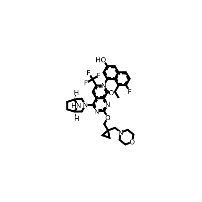 CCc1c(F)ccc2cc(O)cc(-n3c(C(F)(F)F)cc4c(N5C[C@H]6CC[C@@H](C5)N6)nc(OCC5(CN6CCOCC6)CC5)nc4c3=O)c12